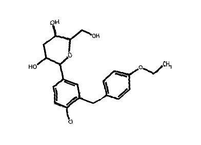 CCOc1ccc(Cc2cc(C3OC(CO)C(O)CC3O)ccc2Cl)cc1